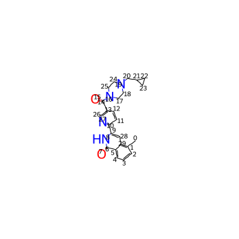 Cc1cccc2c(=O)[nH]c(-c3ccc(C(=O)N4CCN(CC5CC5)CC4)cn3)cc12